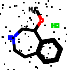 COC1CNCCc2ccccc21.Cl